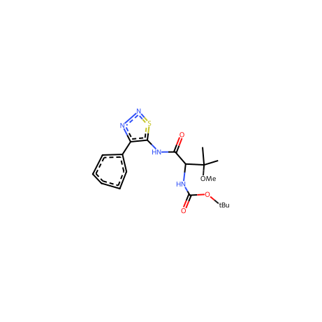 COC(C)(C)C(NC(=O)OC(C)(C)C)C(=O)Nc1snnc1-c1ccccc1